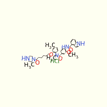 COc1cc(C(=O)N(C)c2ccc(C)cc2OCCCCCC(=O)N2CCNCC2C)ccc1NC(=O)c1cccc2[nH]ccc12.Cl